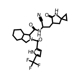 N#CC(CC1CC2(CC2)NC1=O)NC(=O)C1C2CCCCC2CN1C(=O)c1ccc(C(F)(F)F)[nH]1